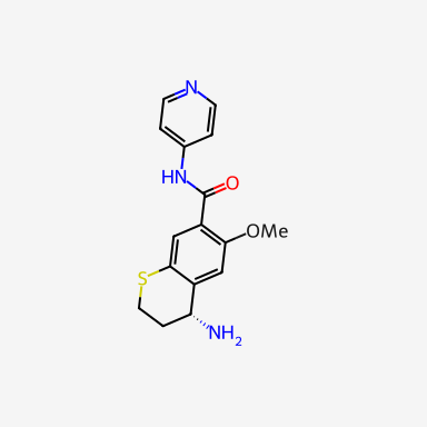 COc1cc2c(cc1C(=O)Nc1ccncc1)SCC[C@H]2N